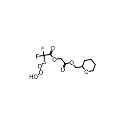 O=C(COC(=O)C(F)(F)SOOO)OCC1CCCCO1